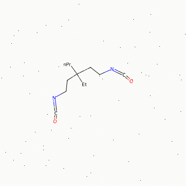 CCCC(CC)(CCN=C=O)CCN=C=O